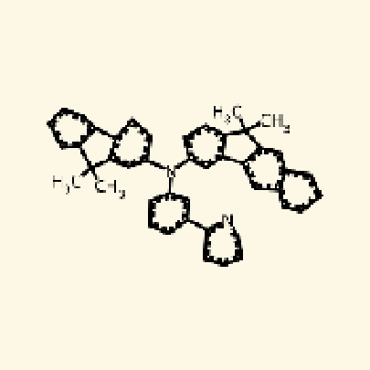 CC1(C)c2ccccc2-c2ccc(N(c3cccc(-c4ccccn4)c3)c3ccc4c(c3)-c3cc5ccccc5cc3C4(C)C)cc21